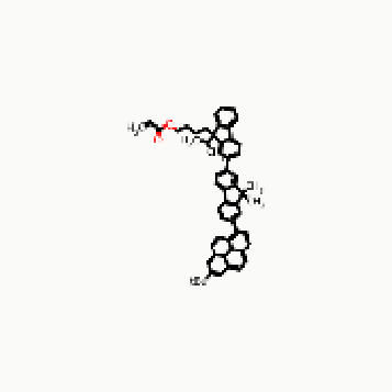 C=CC(=O)OCCCCC1(C(=C)C)c2ccccc2-c2ccc(-c3ccc4c(c3)C(C)(C)c3cc(C5=C6C=CC7=CC(C(C)(C)C)=CC8=CC=C(C=C5)C6C87)ccc3-4)cc21